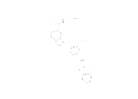 CCCn1cc(Cc2ccc(C(=O)NS(=O)(=O)c3ccccc3C)cc2OC)c2cc(NC(=O)OC3CCCC3)ccc21